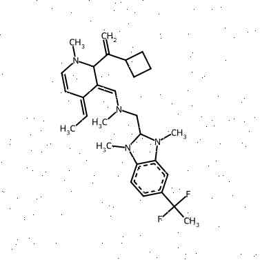 C=C(C1CCC1)C1/C(=C/N(C)CC2N(C)c3ccc(C(C)(F)F)cc3N2C)C(=CC)C=CN1C